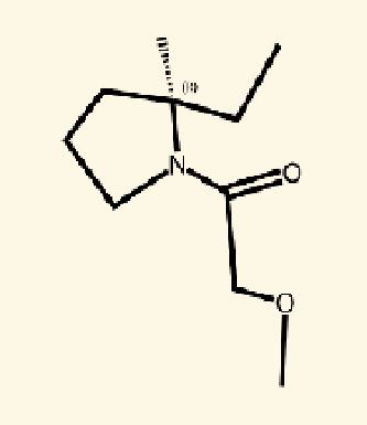 CC[C@]1(C)CCCN1C(=O)COC